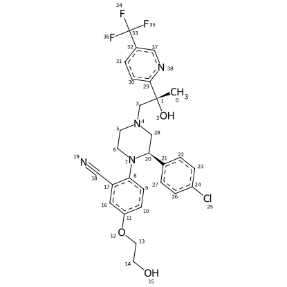 C[C@@](O)(CN1CCN(c2ccc(OCCO)cc2C#N)[C@H](c2ccc(Cl)cc2)C1)c1ccc(C(F)(F)F)cn1